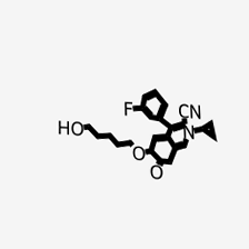 N#CC1=C(c2cccc(F)c2)C2=CC(OCCCCCO)C(=O)CC2=CN1C1CC1